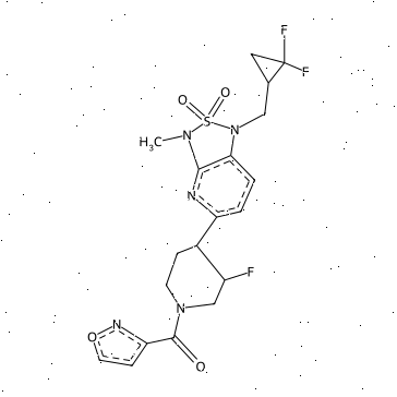 CN1c2nc(C3CCN(C(=O)c4ccon4)CC3F)ccc2N(CC2CC2(F)F)S1(=O)=O